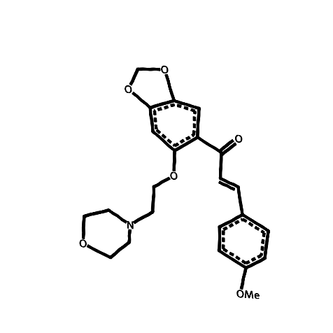 COc1ccc(C=CC(=O)c2cc3c(cc2OCCN2CCOCC2)OCO3)cc1